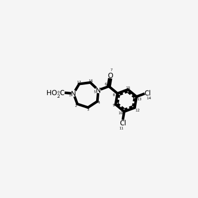 O=C(O)N1CCCN(C(=O)c2cc(Cl)cc(Cl)c2)CC1